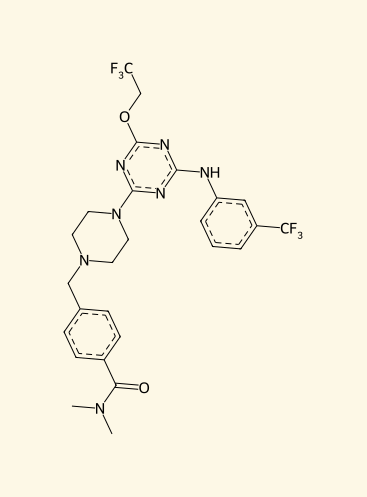 CN(C)C(=O)c1ccc(CN2CCN(c3nc(Nc4cccc(C(F)(F)F)c4)nc(OCC(F)(F)F)n3)CC2)cc1